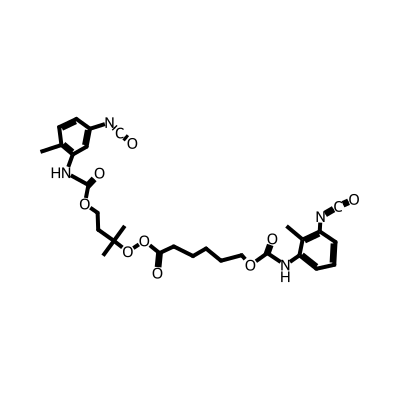 Cc1ccc(N=C=O)cc1NC(=O)OCCC(C)(C)OOC(=O)CCCCCOC(=O)Nc1cccc(N=C=O)c1C